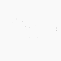 CC(=O)O[C@]12CC[C@@H](N(CC(C)C)C(=O)Cc3ccc(Cl)c(Cl)c3)C[C@]1(c1cccc(O)c1)CCN(C)C2